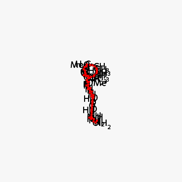 CO[C@H]1C[C@@H]2CCC[C@@](O)(O2)C(=O)C(=O)N2CCCC[C@H]2C(=O)O[C@H]([C@H](N)C[C@@H]2CCC(n3cc(-c4cnc(N5CCN(c6ncc(C(=O)NCCOCCOCCC(=O)NCCCCNc7ncnc(N)c7C(=N)c7ccc8oc(N)nc8c7)cn6)CC5)nc4)nn3)[C@H](OC)C2)CC(=O)[C@H](C)/C=C(\C)[C@@H](O)[C@@H](O)C(=O)[C@H](C)C[C@H](C)/C=C/C=C/C=C/1C